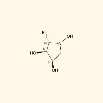 CC[C@H]1[C@H](O)[C@H](O)CN1O